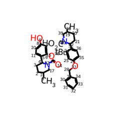 CC1CCC(c2ccc(O)cc2)N(C(=O)OC(C)(C)C)C1.CC1CCC(c2ccc(OCc3ccccc3)cc2)N(C(=O)O)C1